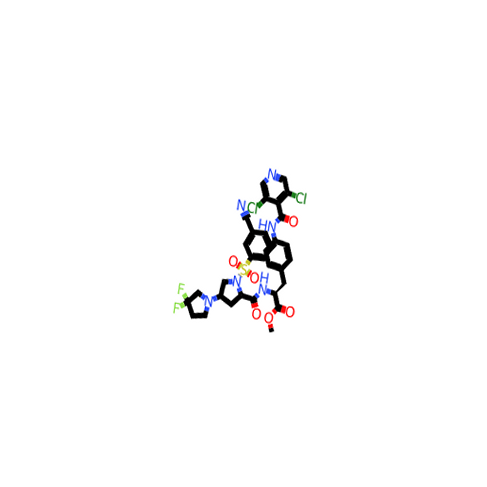 COC(=O)[C@H](Cc1ccc(NC(=O)c2c(Cl)cncc2Cl)cc1)NC(=O)C1CC(N2CCC(F)(F)C2)CN1S(=O)(=O)c1cccc(C#N)c1